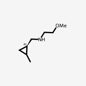 COCCNC[C@@H]1CC1C